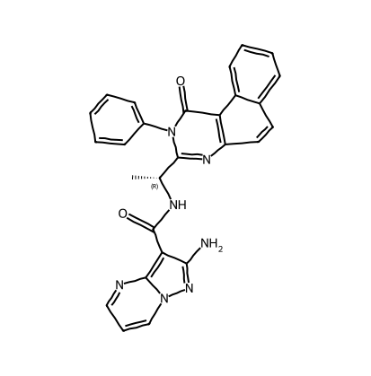 C[C@@H](NC(=O)c1c(N)nn2cccnc12)c1nc2ccc3ccccc3c2c(=O)n1-c1ccccc1